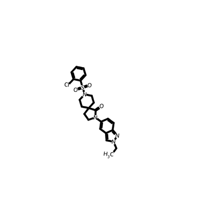 CCn1cc2cc(N3CCC4(CCN(S(=O)(=O)c5ccccc5Cl)CC4)C3=O)ccc2n1